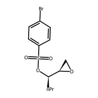 CCC[C@@H](OS(=O)(=O)c1ccc(Br)cc1)[C@H]1CO1